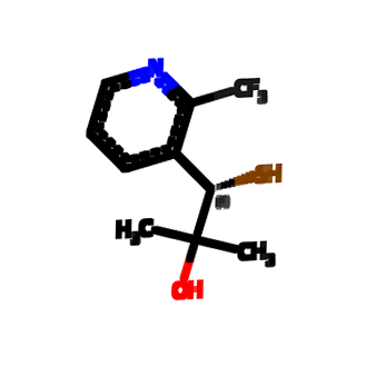 CC(C)(O)[C@@H](S)c1cccnc1C(F)(F)F